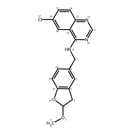 COC1Cc2cc(CNc3ncnc4ccc(Cl)cc34)ccc2O1